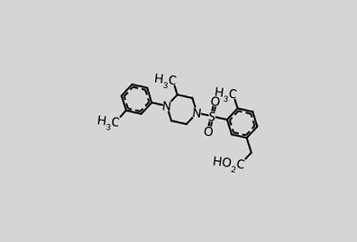 Cc1cccc(N2CCN(S(=O)(=O)c3cc(CC(=O)O)ccc3C)CC2C)c1